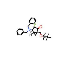 CC(C)(C)[Si](C)(C)OC[C@@]12C[C@@H]1[C@@H](N(Cc1ccccc1)Cc1ccccc1)[C@H](F)C2=O